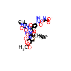 CCN1CCN(C(=O)N[C@@H](C(=O)N[C@]2(OC)C(=O)N3C(C(=O)[O-])=C(COC(C)=O)CS[C@H]32)c2ccc(NC(=O)OC[C@@H](N)C(=O)[O-])cc2)C(=O)C1=O.[Na+].[Na+]